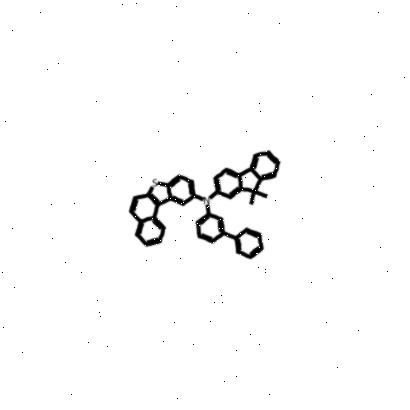 CC1(C)c2ccccc2-c2ccc(N(c3cccc(-c4ccccc4)c3)c3ccc4sc5ccc6ccccc6c5c4c3)cc21